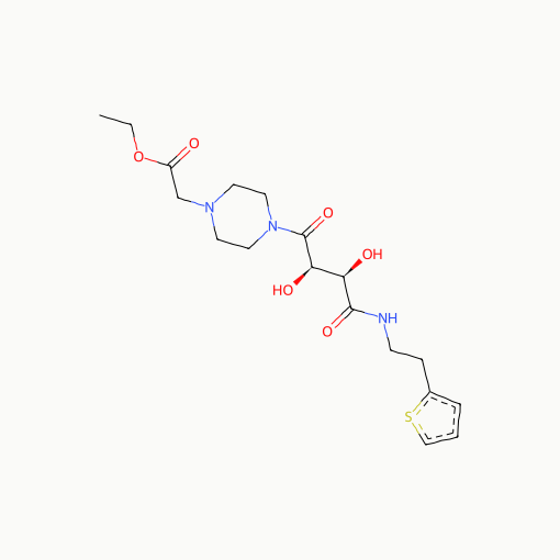 CCOC(=O)CN1CCN(C(=O)[C@H](O)[C@@H](O)C(=O)NCCc2cccs2)CC1